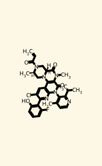 C=CC(=O)N1C[C@@H]2C(=O)N(C)c3c(c4cc(Cl)c(-c5c(O)cccc5F)nc4n(-c4c(C)ccnc4C(C)C)c3=O)N2C[C@H]1C